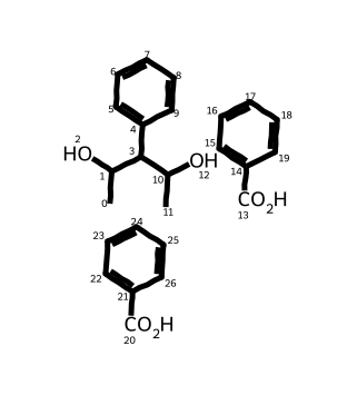 CC(O)C(c1ccccc1)C(C)O.O=C(O)c1ccccc1.O=C(O)c1ccccc1